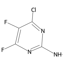 [NH]c1nc(F)c(F)c(Cl)n1